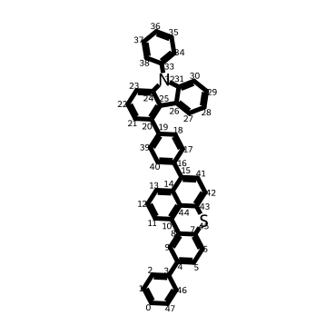 c1ccc(-c2ccc3c(c2)-c2cccc4c(-c5ccc(-c6cccc7c6c6ccccc6n7-c6ccccc6)cc5)ccc(c24)S3)cc1